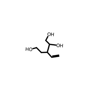 C=CC(CCO)C(O)CO